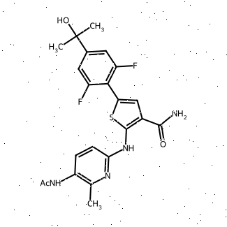 CC(=O)Nc1ccc(Nc2sc(-c3c(F)cc(C(C)(C)O)cc3F)cc2C(N)=O)nc1C